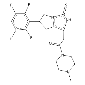 CN1CCN(C(=O)Cc2[nH]c(=S)n3c2CC(c2c(F)c(F)cc(F)c2F)C3)CC1